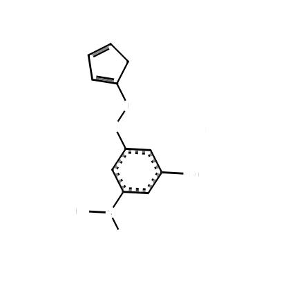 CN(C)c1cc([O][Ti][C]2=CC=CC2)cc(C(C)(C)C)c1.Cl.Cl